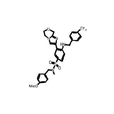 COc1ccc(CN(C)S(=O)(=O)c2ccc(NCc3ccc(C(F)(F)F)cc3)c(-c3cn4c(n3)COCC4)c2)cc1